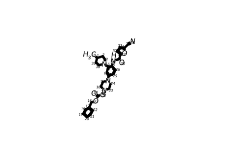 CC1CCN(c2cc(N3CCN(OC(=O)OCc4ccccc4)CC3)ccc2NC(=O)c2ccc(C#N)o2)CC1